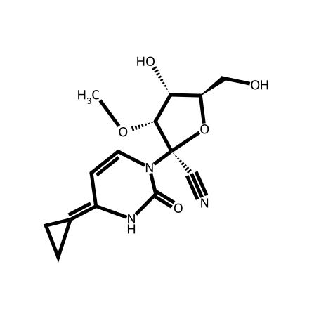 CO[C@@H]1[C@H](O)[C@@H](CO)O[C@@]1(C#N)N1C=CC(=C2CC2)NC1=O